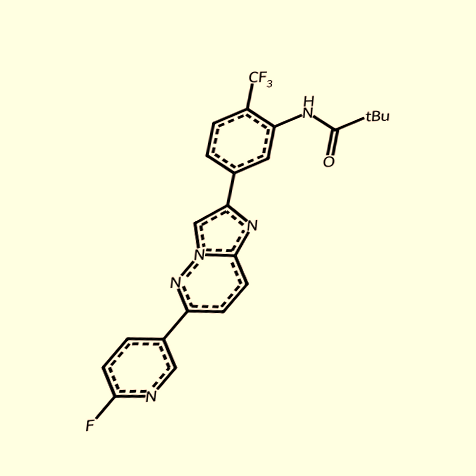 CC(C)(C)C(=O)Nc1cc(-c2cn3nc(-c4ccc(F)nc4)ccc3n2)ccc1C(F)(F)F